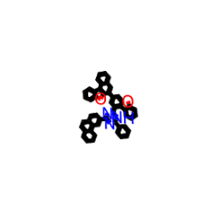 C1=Cc2ccc3ccc(C4=NC(c5ccccc5)NC(c5cc(-c6cc7ccccc7c7c6oc6ccccc67)cc6oc7ccccc7c56)=N4)cc3c2CC1